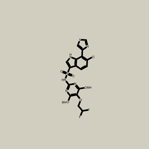 COc1nc(NS(=O)(=O)c2c[nH]c3c(-c4cscn4)c(Cl)ccc23)nc(OC)c1OCC(F)F